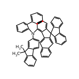 CC1(C)c2ccccc2-c2ccc(N(c3ccccc3-c3ccccc3)c3cccc4c3-c3cc5ccccc5cc3C43c4ccccc4-c4ccccc43)cc21